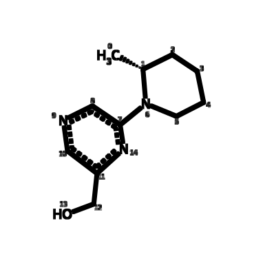 C[C@@H]1CCCCN1c1cncc(CO)n1